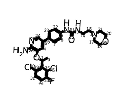 CC(Oc1cc(-c2ccc(NC(=O)NCCN3CCOCC3)cc2)cnc1N)c1c(Cl)ccc(F)c1Cl